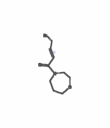 O=C(/C=C/CBr)N1CCCOCC1